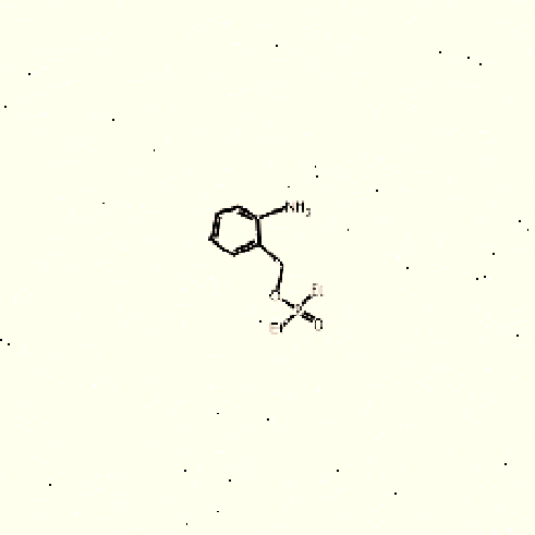 CCP(=O)(CC)OCc1ccccc1N